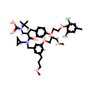 COCCCc1cc(CN(C(=O)C(Cc2ccc(OCCOc3c(Cl)cc(C)cc3Cl)cc2)CN(C(=O)O)C(C)(C)C)C2CC2)cc(OCCCSC)c1